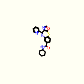 O=C(NC1CCCCC1)c1ccc2c(c1)N=C(c1ccccn1)c1ncoc1S2